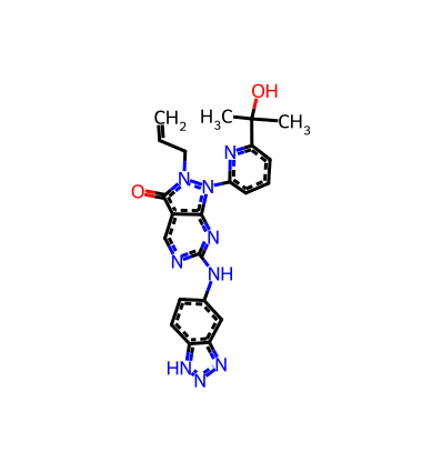 C=CCn1c(=O)c2cnc(Nc3ccc4[nH]nnc4c3)nc2n1-c1cccc(C(C)(C)O)n1